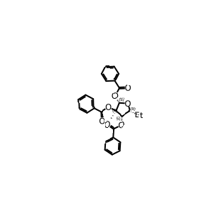 CC[C@H]1O[C@@H](OC(=O)c2ccccc2)[C@](C)(OC(=O)c2ccccc2)[C@H]1OC(=O)c1ccccc1